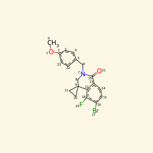 COc1ccc(CN2CC3(CC3)c3c(ccc(Br)c3F)C2=O)cc1